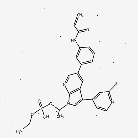 C=CC(=O)Nc1cccc(-c2cnc3c(c2)c(-c2ccnc(F)c2)cn3C(C)OP(=O)(O)OCC)c1